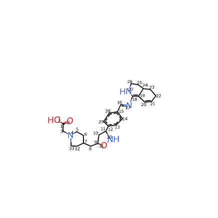 O=C(O)CN1CCC(CC2CC(c3ccc(C=NC4=C5C=CCCC5CCN4)cc3)NO2)CC1